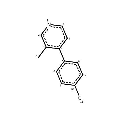 Cc1cnccc1-c1ccc(Cl)cc1